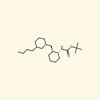 CCCCC1CCCN(C[C@@H]2CCCC[C@H]2NC(=O)OC(C)(C)C)C1